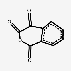 O=C1OC(=O)c2ccccc2C1=O